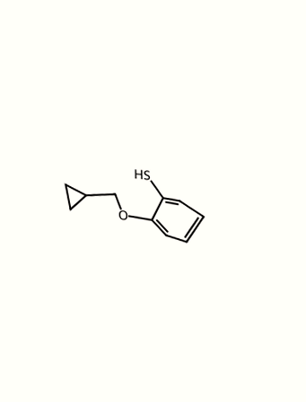 Sc1ccccc1OCC1CC1